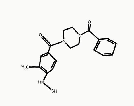 Cc1cc(C(=O)N2CCN(C(=O)c3cccnc3)CC2)ccc1NS